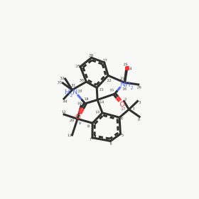 CC(C)(C)c1cccc(C(C)(C)C)c1C(C(N)=O)(C(N)=O)c1c(C(C)(C)C)cccc1C(C)(C)C